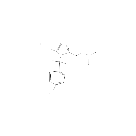 C[SiH](C)OCc1ncc(OC(C)(C)C)n1C(C)(C)c1ccc(C#N)cc1